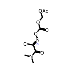 CC(=O)OCOC(=O)O/N=C(\Cl)C(=O)N(C)C